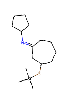 C[Si](C)(C)SC1CCCCC(=NC2CCCC2)C1